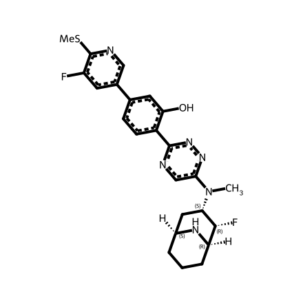 CSc1ncc(-c2ccc(-c3ncc(N(C)[C@H]4C[C@@H]5CCC[C@@H](N5)[C@H]4F)nn3)c(O)c2)cc1F